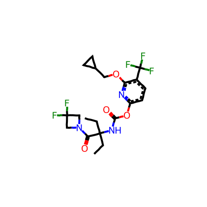 CCC(CC)(NC(=O)Oc1ccc(C(F)(F)F)c(OCC2CC2)n1)C(=O)N1CC(F)(F)C1